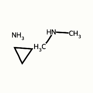 C1CC1.CNC.N